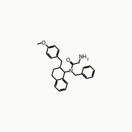 COc1ccc(CC2CCc3ccccc3C2N(Cc2ccccc2)C(=O)CN)cc1